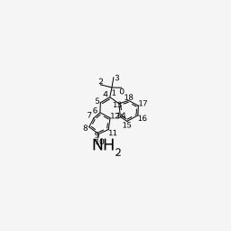 CC(C)(C)C(=Cc1ccc(N)cc1)c1ccccc1